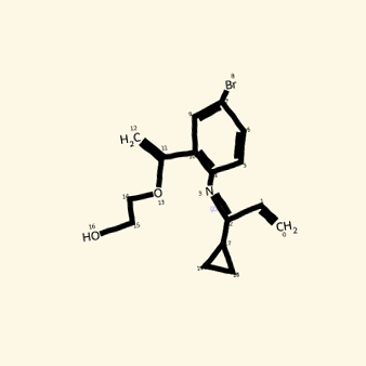 C=C/C(=N\c1ccc(Br)cc1C(=C)OCCO)C1CC1